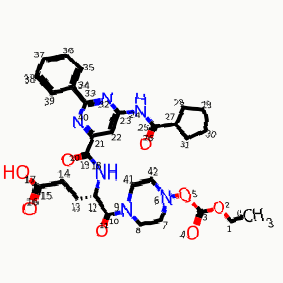 CCOC(=O)ON1CCN(C(=O)[C@H](CCC(=O)O)NC(=O)c2cc(NC(=O)C3CCCC3)nc(-c3ccccc3)n2)CC1